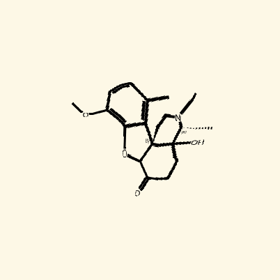 COc1ccc(C)c2c1OC1C(=O)CCC3(O)[C@@H](C)N(C)CC[C@]213